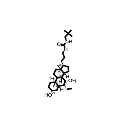 CC[C@H]1[C@@H](O)[C@@H]2[C@H](CC[C@]3(C)[C@@H](CCCOC(=O)NCC(C)(C)C)CC[C@@H]23)[C@@]2(C)CC[C@@H](O)C[C@@H]12